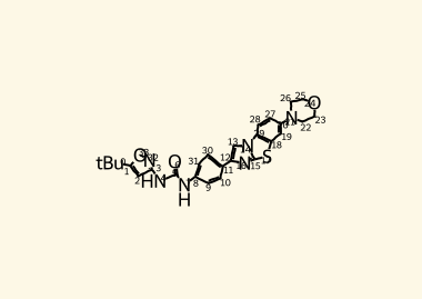 CC(C)(C)c1cc(NC(=O)Nc2ccc(-c3cn4c(n3)sc3cc(N5CCOCC5)ccc34)cc2)no1